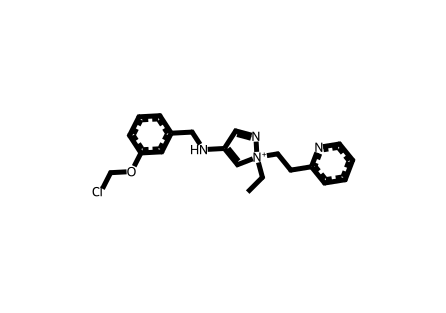 CC[N+]1(CCc2ccccn2)C=C(NCc2cccc(OCCl)c2)C=N1